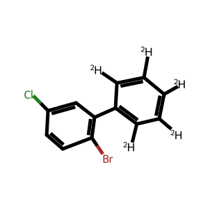 [2H]c1c([2H])c([2H])c(-c2cc(Cl)ccc2Br)c([2H])c1[2H]